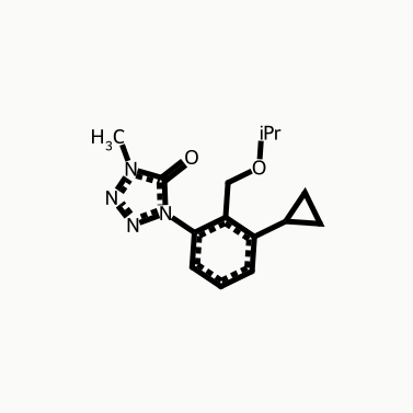 CC(C)OCc1c(C2CC2)cccc1-n1nnn(C)c1=O